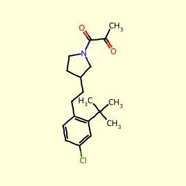 CC(=O)C(=O)N1CCC(CCc2ccc(Cl)cc2C(C)(C)C)C1